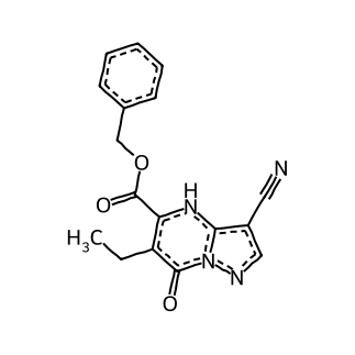 CCc1c(C(=O)OCc2ccccc2)[nH]c2c(C#N)cnn2c1=O